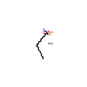 CCCCCCCC/C=C\CCCCCCCC(=O)C(C)(CN)S(=O)(=O)O.[NaH]